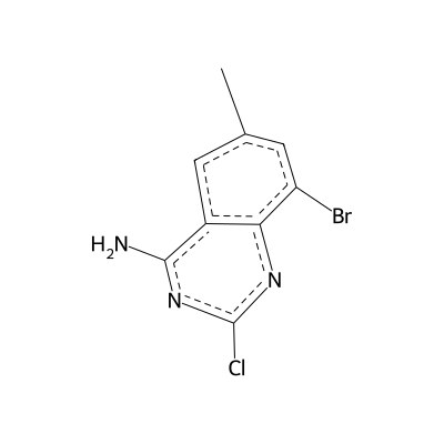 Cc1cc(Br)c2nc(Cl)nc(N)c2c1